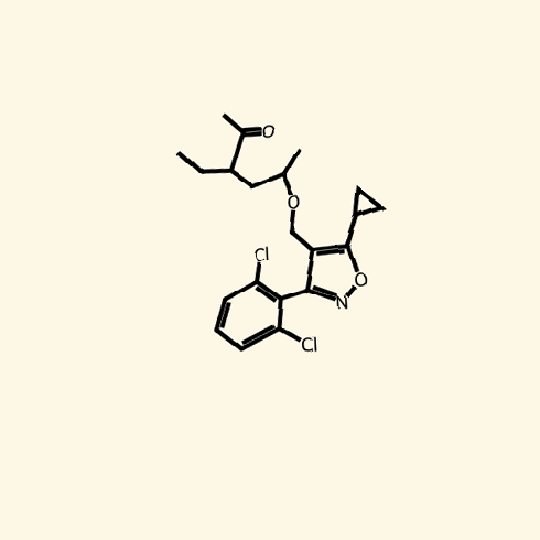 CCC(CC(C)OCc1c(-c2c(Cl)cccc2Cl)noc1C1CC1)C(C)=O